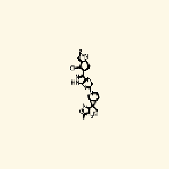 Cc1cc(C2(CN)C3CCN(c4cnc5c(-c6ccc7nn(C)cc7c6Cl)n[nH]c5n4)CC32)no1